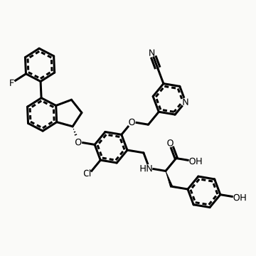 N#Cc1cncc(COc2cc(O[C@H]3CCc4c(-c5ccccc5F)cccc43)c(Cl)cc2CN[C@H](Cc2ccc(O)cc2)C(=O)O)c1